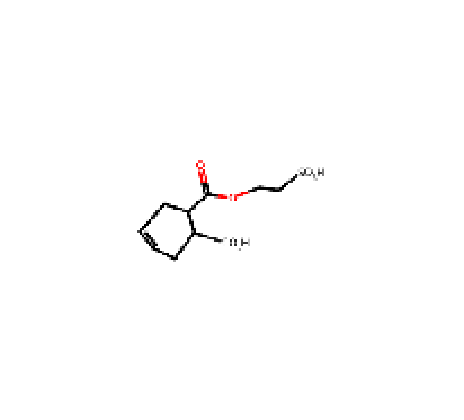 O=C(O)C1CC=CCC1C(=O)OCCS(=O)(=O)O